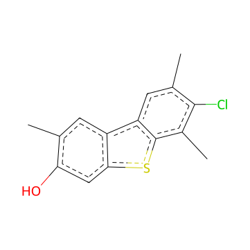 Cc1cc2c(cc1O)sc1c(C)c(Cl)c(C)cc12